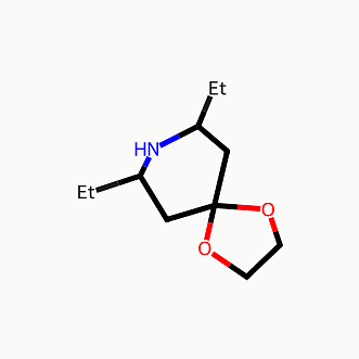 CCC1CC2(CC(CC)N1)OCCO2